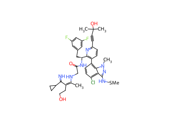 CSNc1nn(C)c2c(-c3ccc(C#CC(C)(C)O)nc3[C@H](Cc3cc(F)cc(F)c3)NC(=O)CN/C(C)=C(/CCO)C(=N)C3CC3)ccc(Cl)c12